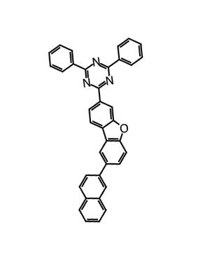 c1ccc(-c2nc(-c3ccccc3)nc(-c3ccc4c(c3)oc3ccc(-c5ccc6ccccc6c5)cc34)n2)cc1